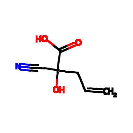 C=CCC(O)(C#N)C(=O)O